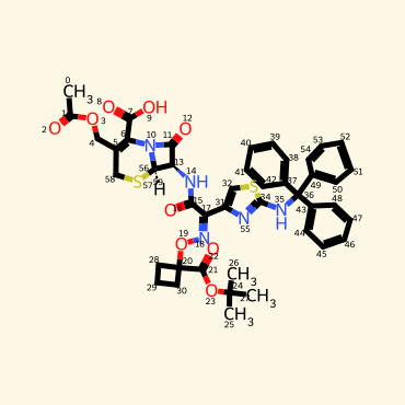 CC(=O)OCC1=C(C(=O)O)N2C(=O)[C@@H](NC(=O)/C(=N\OC3(C(=O)OC(C)(C)C)CCC3)c3csc(NC(c4ccccc4)(c4ccccc4)c4ccccc4)n3)[C@H]2SC1